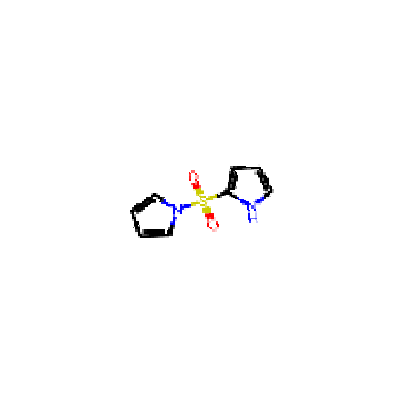 O=S(=O)(c1ccc[nH]1)n1cccc1